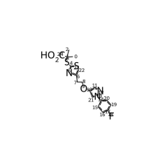 CC(C)(Sc1nc(CCOc2cnn(-c3ccc(F)cc3)c2)cs1)C(=O)O